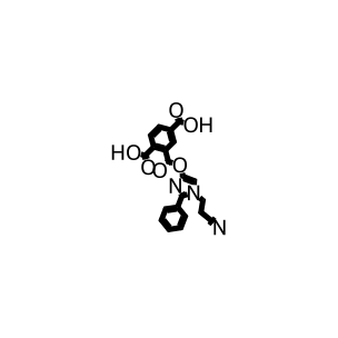 N#CCCn1cc(OC(=O)c2cc(C(=O)O)ccc2C(=O)O)nc1-c1ccccc1